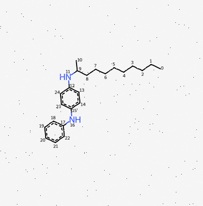 CCCCCCCCCC(C)Nc1ccc(Nc2ccccc2)cc1